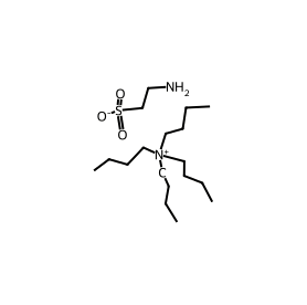 CCCC[N+](CCCC)(CCCC)CCCC.NCCS(=O)(=O)[O-]